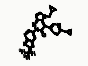 [2H]C([2H])([2H])n1cc2cc(-n3nc4ccn(CC5CC5)c4c(-c4ccc(C5CC5)nc4)c3=O)ccc2n1